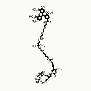 CC(C)(CCONCCOCCOCCNC(=O)c1ccc(C(=O)O)c(-c2c3ccc(=N)c(S(=O)(=O)O)c-3oc3c(S(=O)(=O)O)c(N)ccc23)c1)SSCOCCCCOC(=O)NCC#Cc1cn(C2C[C@H](OCN=[N+]=[N-])[C@@H](COP(=O)(O)O[PH](=O)OP(=O)(O)O)O2)c(=O)nc1N